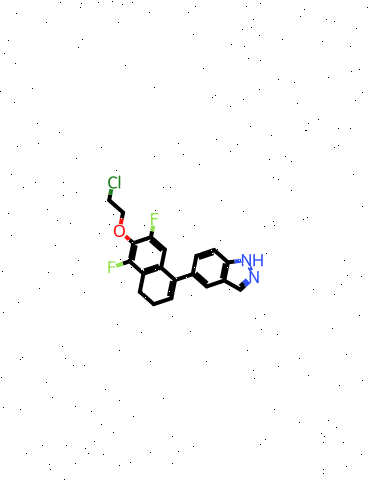 Fc1cc2c(c(F)c1OCCCl)CCC=C2c1ccc2[nH]ncc2c1